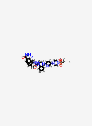 CCS(=O)(=O)N1CCN(c2ccc(N3CCN(C(=O)NC4[C@@H]5CC6C[C@H]4CC(C(N)=O)(C6)C5)c4ccccc43)nc2)CC1